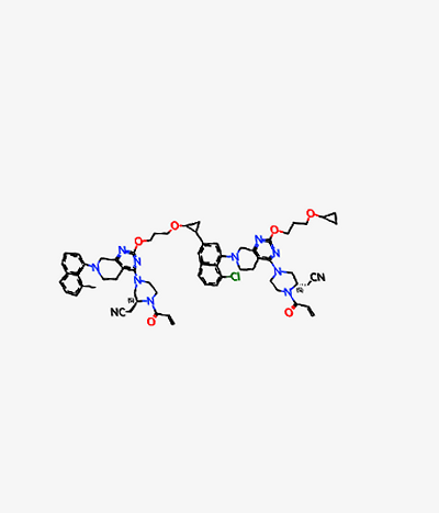 C=CC(=O)N1CCN(c2nc(OCCCOC3CC3c3cc(N4CCc5c(nc(OCCCOC6CC6)nc5N5CCN(C(=O)C=C)[C@@H](CC#N)C5)C4)c4c(Cl)cccc4c3)nc3c2CCN(c2cccc4cccc(C)c24)C3)C[C@@H]1CC#N